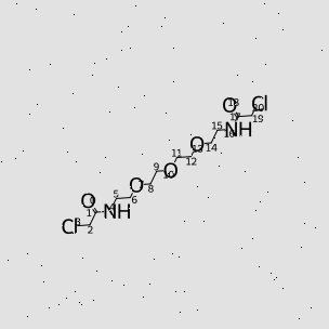 O=C(CCl)NCCOCCOCCOCCNC(=O)CCl